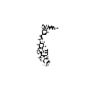 COc1ccc(CCCc2ccc(NC(=O)C3CSc4ccccc4C3=O)cc2)cc1OC